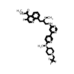 CNC(=O)c1c(F)cnc2c(CC(CNc3cc(-c4ccc(N(C)C5CCN(CC(F)(F)F)CC5)nc4)ncn3)SC)cccc12